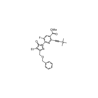 CCn1c(COCc2ccccc2)nn(-c2nc(C#C[Si](C)(C)C)c(C(=O)OC)cc2F)c1=O